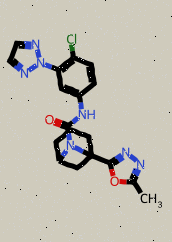 Cc1nnc(C23CCCC(C2)N3C(=O)Nc2ccc(Cl)c(-n3nccn3)c2)o1